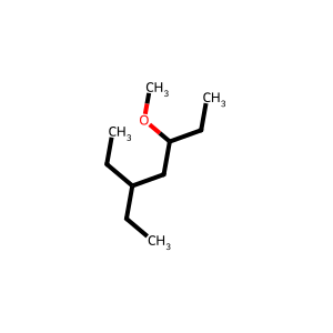 CCC(CC)CC(CC)OC